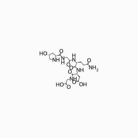 NC(=O)CC[C@H](NC(=O)CNC(=O)[C@@H]1C[C@@H](O)CN1)C(=O)N[C@@H](CC(=O)O)C(=O)NCC(=O)O